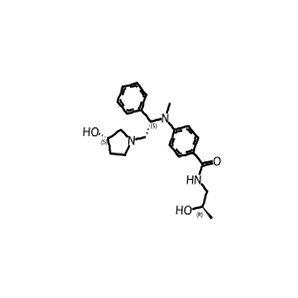 C[C@@H](O)CNC(=O)c1ccc(N(C)[C@H](CN2CC[C@H](O)C2)c2ccccc2)cc1